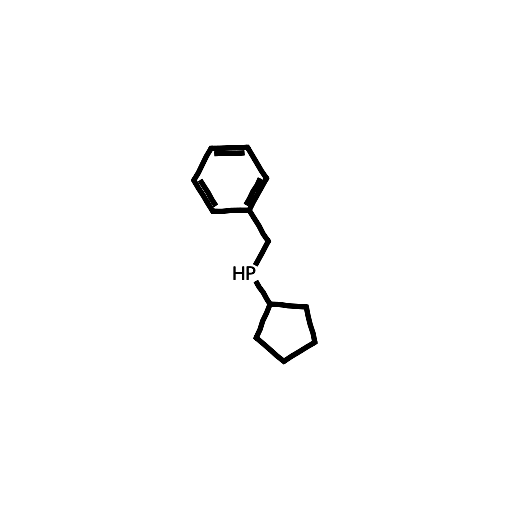 c1ccc(CPC2CCCC2)cc1